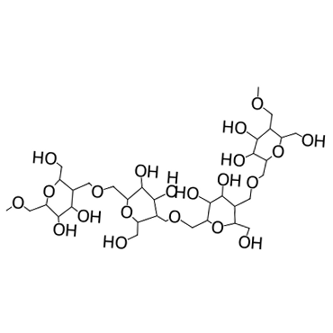 COCC1OC(CO)C(COCC2OC(CO)C(COCC3OC(CO)C(COCC4OC(CO)C(COC)C(O)C4O)C(O)C3O)C(O)C2O)C(O)C1O